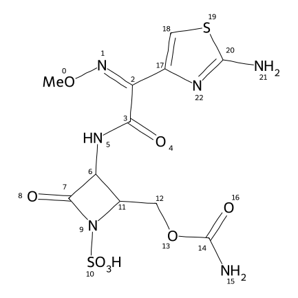 CO/N=C(\C(=O)NC1C(=O)N(S(=O)(=O)O)C1COC(N)=O)c1csc(N)n1